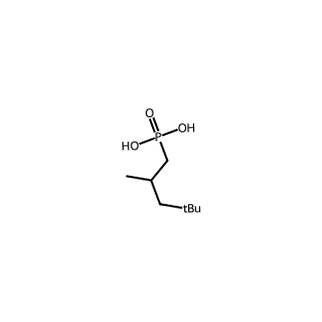 CC(CC(C)(C)C)CP(=O)(O)O